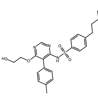 CCCCc1ccc(S(=O)(=O)Nc2ncnc(OCCO)c2-c2ccc(C)cc2)cc1